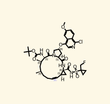 COc1ccc2c(Cl)ncc(O[C@@H]3C[C@H]4C(=O)N[C@]5(C(=O)NS(=O)(=O)C6(CF)CC6)C[C@H]5/C=C\CC[C@@H](C)C[C@@H](C)[C@H](NC(=O)OC(C)(C)C)C(=O)N4C3)c2c1